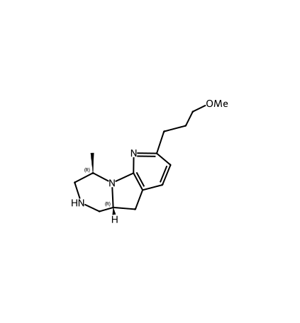 COCCCc1ccc2c(n1)N1[C@@H](CNC[C@H]1C)C2